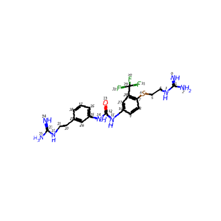 N=C(N)NCCSc1ccc(NC(=O)Nc2cccc(CCNC(=N)N)c2)cc1C(F)(F)F